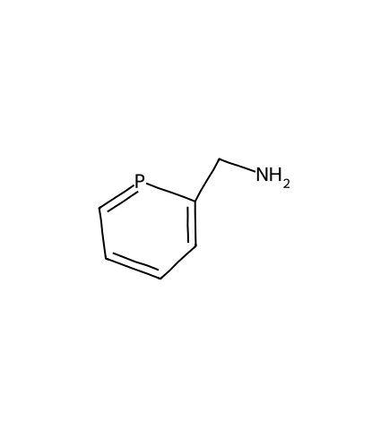 NCc1ccccp1